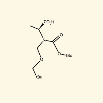 C[C@@H](C(=O)O)N(COCC(C)(C)C)C(=O)OC(C)(C)C